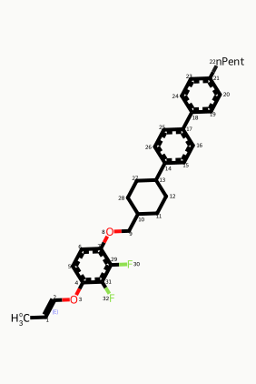 C/C=C/Oc1ccc(OCC2CCC(c3ccc(-c4ccc(CCCCC)cc4)cc3)CC2)c(F)c1F